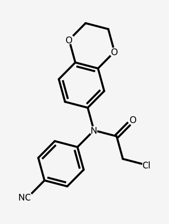 N#Cc1ccc(N(C(=O)CCl)c2ccc3c(c2)OCCO3)cc1